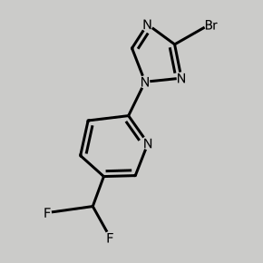 FC(F)c1ccc(-n2cnc(Br)n2)nc1